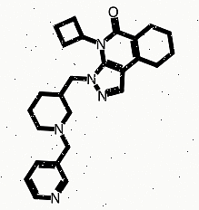 O=c1c2c(c3cnn(CC4CCCN(Cc5cccnc5)C4)c3n1C1CCC1)CCCC2